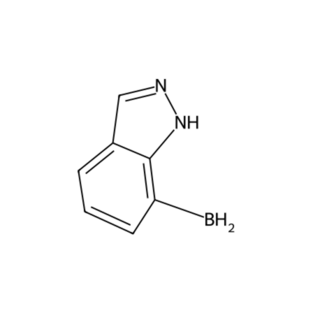 Bc1cccc2cn[nH]c12